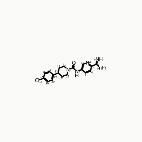 C[CH]CC(=N)c1ccc(NC(=O)N2CCC(c3ccc(Cl)cc3)CC2)cn1